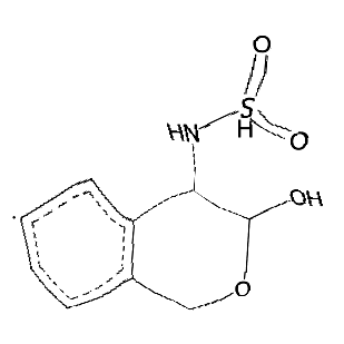 O=[SH](=O)NC1c2c[c]ccc2COC1O